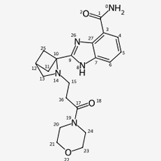 NC(=O)c1cccc2[nH]c(C34CC(CN3CCC(=O)N3CCOCC3)C4)nc12